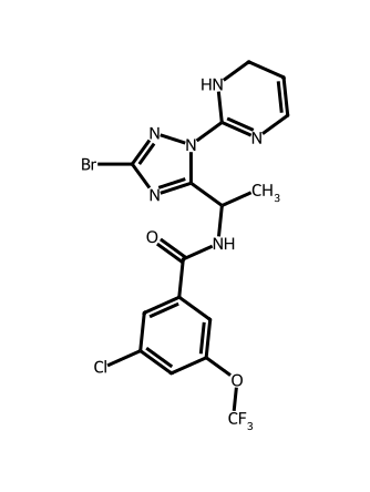 CC(NC(=O)c1cc(Cl)cc(OC(F)(F)F)c1)c1nc(Br)nn1C1=NC=CCN1